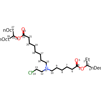 CCCCCCCCCCC(CC)OC(=O)CCCCCN(CCCl)CCCCCCCC(=O)OC(CCCCCCCC)CCCCCCCC